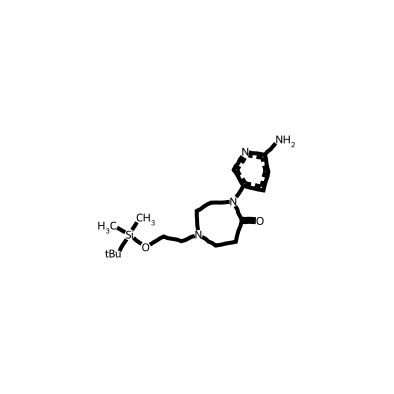 CC(C)(C)[Si](C)(C)OCCN1CCC(=O)N(c2ccc(N)nc2)CC1